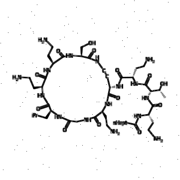 CCCCCCCC(=O)N[C@@H](CCN)C(=O)N[C@H](C(=O)N[C@@H](CCN)C(=O)N[C@H]1CCNC(=O)[C@H](CO)NC(=O)[C@H](CCN)NC(=O)[C@H](CCN)NC(=O)[C@H](CC(C)C)NC(=O)CNC(=O)[C@H](CCN)NC1=O)[C@@H](C)O